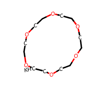 C1COCCOCCOCCOCCOCCO1.[KH]